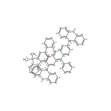 CC1(C)c2ccccc2-c2ccc(-c3ccccc3-c3c4ccc(N5c6ccccc6Sc6ccccc65)cc4c(-c4ccccc4)c4ccc(N5c6ccccc6Sc6ccccc65)cc34)cc21